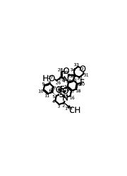 C#C[C@H]1CC[C@H](c2ccccc2)S(=O)(=O)N1Cc1cc(F)c(C2(c3nc(CO)co3)CCOCC2)cc1F